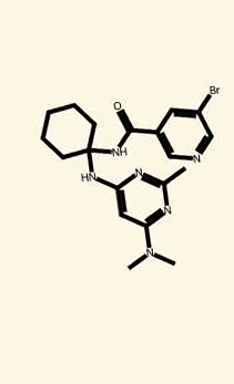 Cc1nc(NC2(NC(=O)c3cncc(Br)c3)CCCCC2)cc(N(C)C)n1